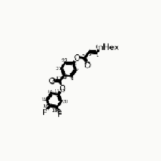 CCCCCCC=CC(=O)Oc1ccc(C(=O)Oc2ccc(F)c(F)c2)cc1